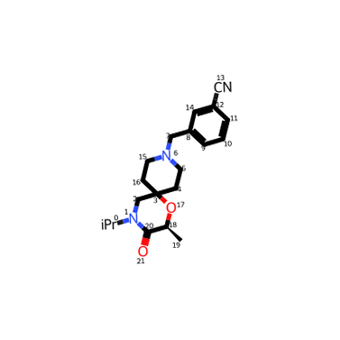 CC(C)N1CC2(CCN(Cc3cccc(C#N)c3)CC2)O[C@@H](C)C1=O